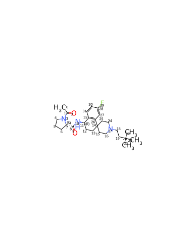 CC(=O)N1CCC[C@H]1C(=O)N[C@@H]1CCC2(CCN(CCC(C)(C)C)CC2)c2cc(F)ccc21